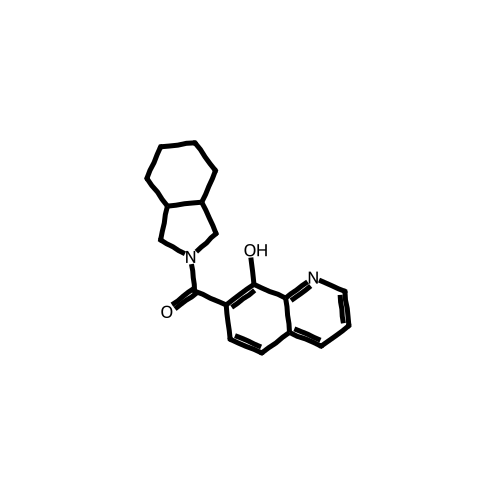 O=C(c1ccc2cccnc2c1O)N1CC2CCCCC2C1